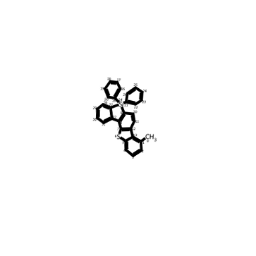 Cc1cccc2sc3c4c(ccc3c12)[Si](c1ccccc1)(c1ccccc1)c1ccccc1-4